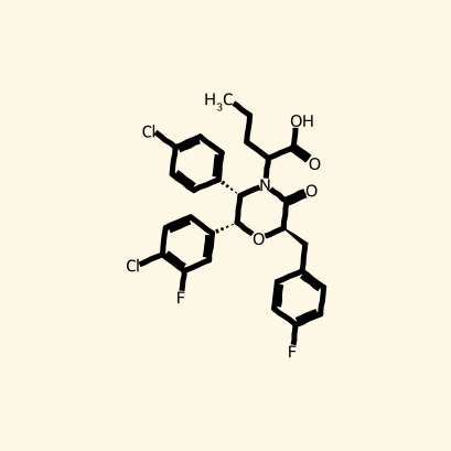 CCCC(C(=O)O)N1C(=O)[C@@H](Cc2ccc(F)cc2)O[C@H](c2ccc(Cl)c(F)c2)[C@@H]1c1ccc(Cl)cc1